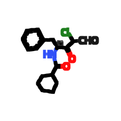 O=CC(Cl)C(=O)[C@H](Cc1ccccc1)NC(=O)C1CCCCC1